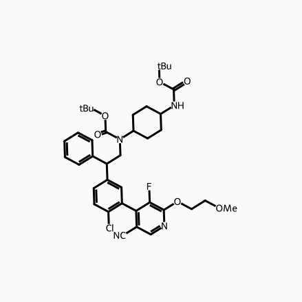 COCCOc1ncc(C#N)c(-c2cc(C(CN(C(=O)OC(C)(C)C)C3CCC(NC(=O)OC(C)(C)C)CC3)c3ccccc3)ccc2Cl)c1F